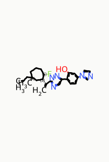 C=C(c1ncc(-c2ccc(-n3ccnc3)cc2O)nn1)[C@@H]1C[C@](C)(CCC)CCC[C@@H]1F